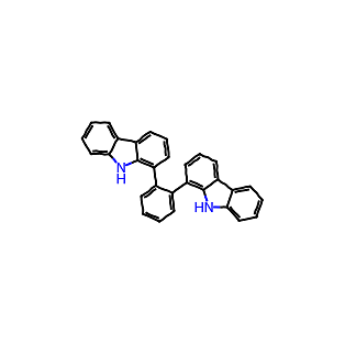 c1ccc(-c2cccc3c2[nH]c2ccccc23)c(-c2cccc3c2[nH]c2ccccc23)c1